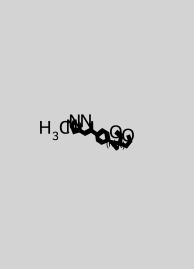 Cn1cc2cc(-c3ccc([C@H]4C[C@@]45CCOC5=O)cc3)cnc2n1